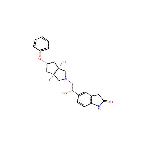 O=C1Cc2cc([C@H](O)CN3C[C@H]4C[C@H](Oc5ccccc5)C[C@@]4(O)C3)ccc2N1